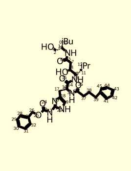 CC[C@H](C)[C@@H](CO)NC(=O)CC(O)[C@H](CC(C)C)NC(=O)[C@H](Cc1c[nH]c(NC(=O)OCc2ccccc2)n1)NC(=O)CCCc1ccccc1